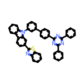 c1ccc(-c2nc(-c3ccccc3)nc(-c3ccc(-c4cccc(-n5c6ccccc6c6ccc(-c7nc8ccccc8s7)cc65)c4)cc3)n2)cc1